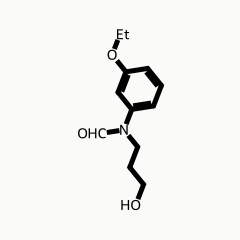 CCOc1cccc(N(C=O)CCCO)c1